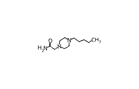 CCCCCN1CCN(CC(N)=O)CC1